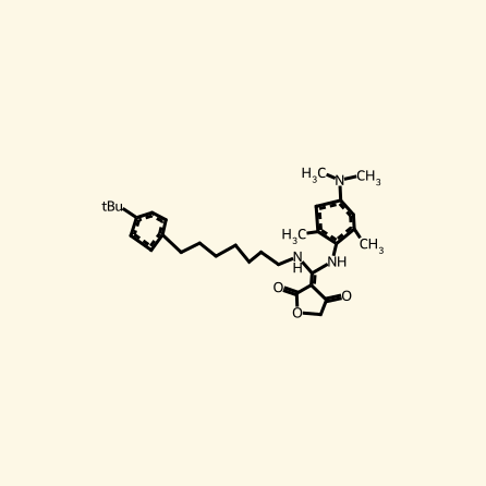 Cc1cc(N(C)C)cc(C)c1NC(NCCCCCCCc1ccc(C(C)(C)C)cc1)=C1C(=O)COC1=O